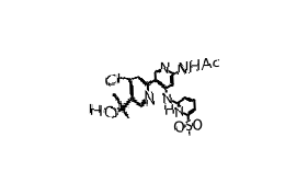 CC(=O)Nc1cc(Nc2cccc(S(C)(=O)=O)n2)c(-c2cc(Cl)c(C(C)(C)O)cn2)cn1